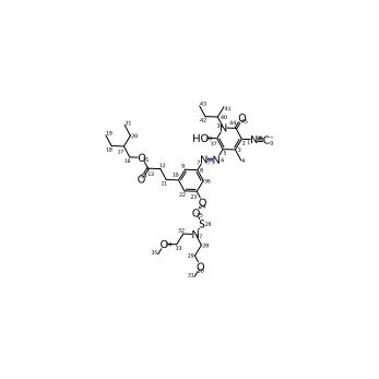 [C-]#[N+]c1c(C)c(/N=N/c2cc(CCC(=O)OCC(CC)CC)cc(OOSN(CCOC)CCOC)c2)c(O)n(C(C)CC)c1=O